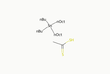 CC(=S)S.CCCCCCC[CH2][Sn]([CH2]CCC)([CH2]CCC)[CH2]CCCCCCC